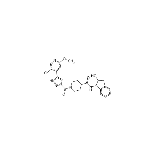 COc1cc(-c2cc(C(=O)N3CCC(C(=O)NC4c5ccccc5CC4O)CC3)n[nH]2)c(Cl)cn1